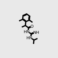 Cc1cccc(C)c1C(C)C(=O)NC(=N)NC(C)C